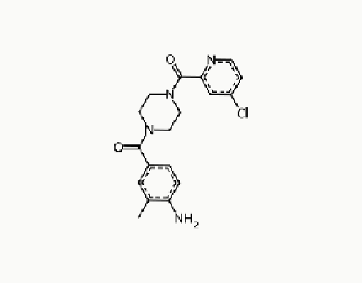 Cc1cc(C(=O)N2CCN(C(=O)c3cc(Cl)ccn3)CC2)ccc1N